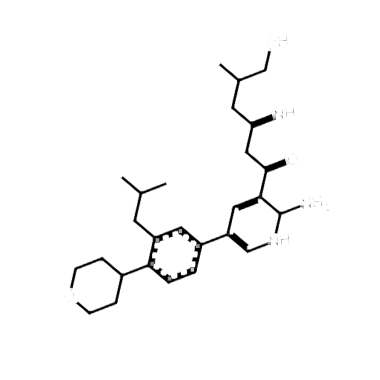 CC(C)Cc1cc(C2=CNC(N)C(C(=O)CC(=N)CC(C)CO)=C2)ccc1C1CCOCC1